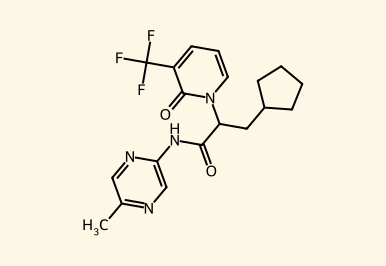 Cc1cnc(NC(=O)C(CC2CCCC2)n2cccc(C(F)(F)F)c2=O)cn1